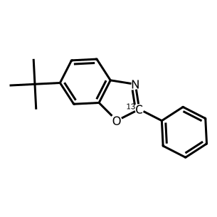 CC(C)(C)c1ccc2n[13c](-c3ccccc3)oc2c1